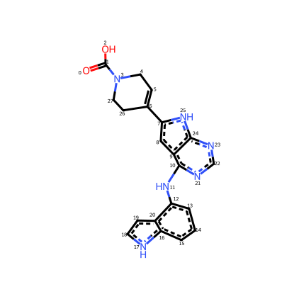 O=C(O)N1CC=C(c2cc3c(Nc4cccc5[nH]ccc45)ncnc3[nH]2)CC1